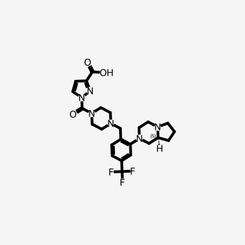 O=C(O)c1ccn(C(=O)N2CCN(Cc3ccc(C(F)(F)F)cc3N3CCN4CCC[C@H]4C3)CC2)n1